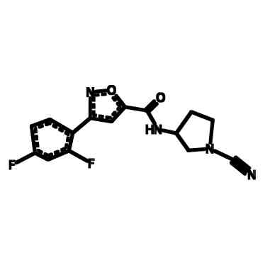 N#CN1CCC(NC(=O)c2cc(-c3ccc(F)cc3F)no2)C1